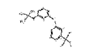 CC(C)(C)Cc1cccc(Oc2cccc(C(F)(F)F)c2)c1